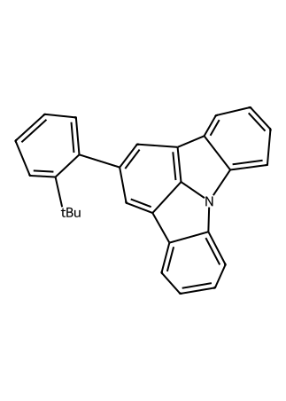 CC(C)(C)c1ccccc1-c1cc2c3ccccc3n3c4ccccc4c(c1)c23